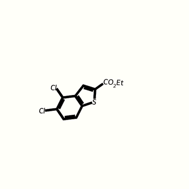 CCOC(=O)c1cc2c(Cl)c(Cl)ccc2s1